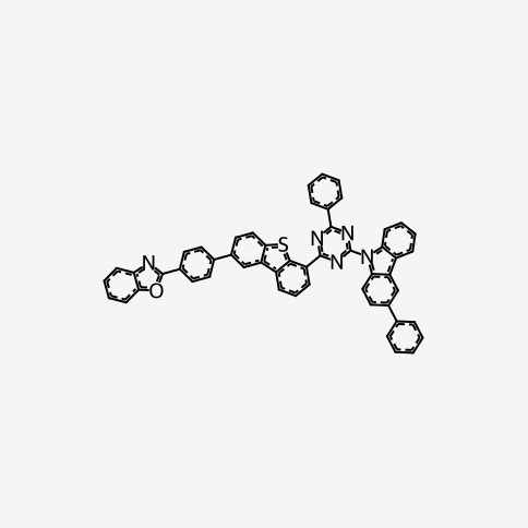 c1ccc(-c2ccc3c(c2)c2ccccc2n3-c2nc(-c3ccccc3)nc(-c3cccc4c3sc3ccc(-c5ccc(-c6nc7ccccc7o6)cc5)cc34)n2)cc1